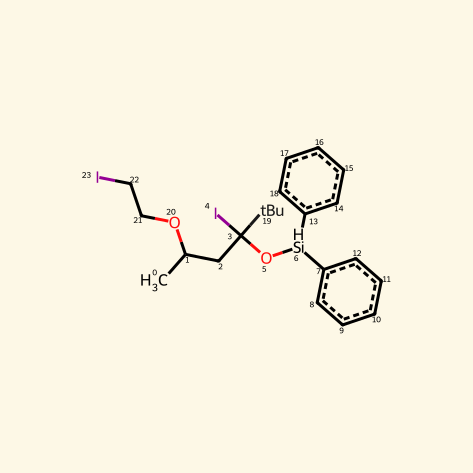 CC(CC(I)(O[SiH](c1ccccc1)c1ccccc1)C(C)(C)C)OCCI